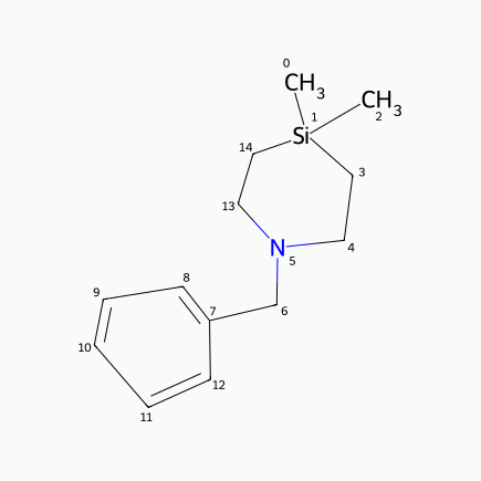 C[Si]1(C)CCN(Cc2ccccc2)CC1